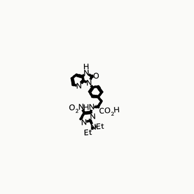 CCN(CC)c1ncc([N+](=O)[O-])c(N[C@@H](Cc2ccc(-n3c(=O)[nH]c4cccnc43)cc2)C(=O)O)n1